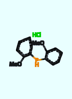 COc1ccccc1Pc1ccccc1OC.Cl